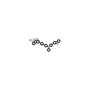 CC1(C)c2ccccc2-c2cc(-c3ccc(-c4ccc(N(c5ccccc5)c5ccc(-c6ccc7c(c6)sc6ccccc67)cc5)cc4)cc3)ccc21